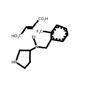 CCN(Cc1ccccc1C(F)(F)F)C1CCNC1.O=C(O)/C=C/C(=O)O